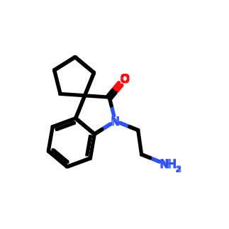 NCCN1C(=O)C2(CCCC2)c2ccccc21